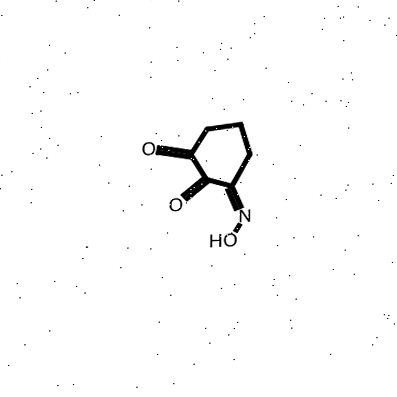 O=C1CCCC(=NO)C1=O